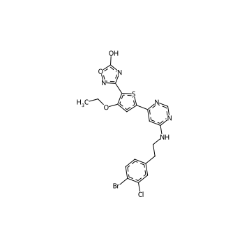 CCOc1cc(-c2cc(NCCc3ccc(Br)c(Cl)c3)ncn2)sc1-c1noc(O)n1